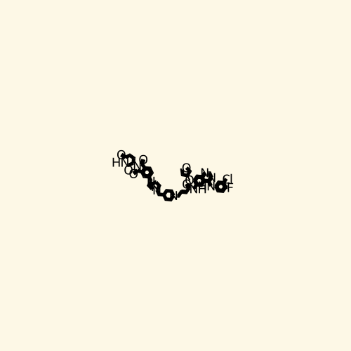 O=C(/C=C/CN1CCC(CN2CC3CC2CN3c2ccc3c(c2)C(=O)N(C2CCC(=O)NC2=O)C3=O)CC1)Nc1cc2c(Nc3ccc(F)c(Cl)c3)ncnc2cc1O[C@H]1CCOC1